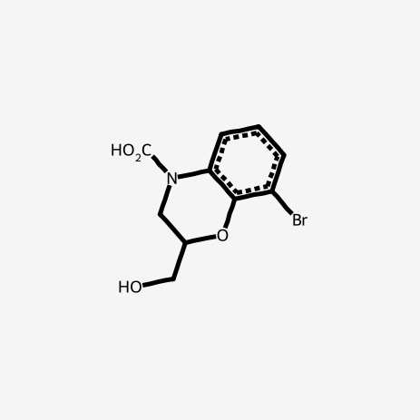 O=C(O)N1CC(CO)Oc2c(Br)cccc21